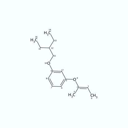 C/C=C(\C)Oc1cccc(OCC(CC)CC)c1